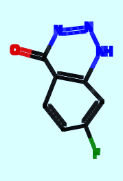 O=c1nn[nH]c2cc(F)ccc12